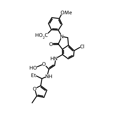 CCC(NC(=CNc1ccc(Cl)c2c1C(=O)N(c1cc(OC)ccc1C(=O)O)C2)OO)c1ccc(C)o1